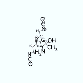 CC(C)(O)CN.O=C=NCCCCCCN=C=O